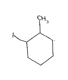 CC1[CH]CCCC1I